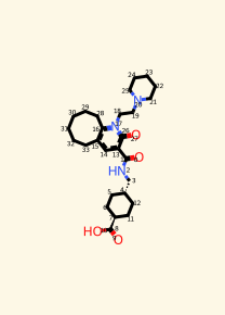 O=C(NC[C@H]1CC[C@H](C(=O)O)CC1)c1cc2c(n(CCN3CCCCC3)c1=O)CCCCCC2